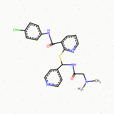 CN(C)CC(=O)NC(Sc1ncccc1C(=O)Nc1ccc(Cl)cc1)c1ccncc1